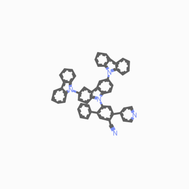 N#Cc1cc(-c2ccccc2)c(-n2c3ccc(-n4c5ccccc5c5ccccc54)cc3c3cc(-n4c5ccccc5c5ccccc54)ccc32)cc1-c1ccncc1